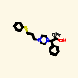 CCCC(O)C(c1ccccc1)N1CCN(CCCSc2ccccc2)CC1